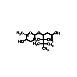 C[C@@H]1OC(OC(CC(=O)O)C(C)(C)C(C)(C)C)CCC1O